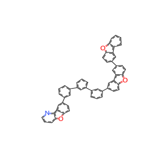 c1cc(-c2cccc(-c3ccc4oc5ccc(-c6ccc7oc8ccccc8c7c6)cc5c4c3)c2)cc(-c2cccc(-c3ccc4oc5cccnc5c4c3)c2)c1